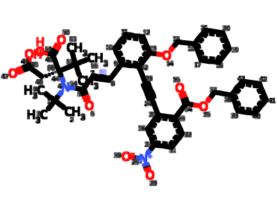 CC(C)(C)N(C(=O)/C=C/c1cccc(OCc2ccccc2)c1C#Cc1cc([N+](=O)[O-])ccc1C(=O)OCc1ccccc1)[C@@](CC(=O)O)(C(=O)O)C(C)(C)C